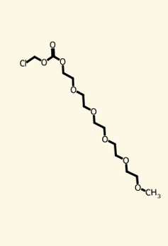 COCCOCCOCCOCCOCCOC(=O)OCCl